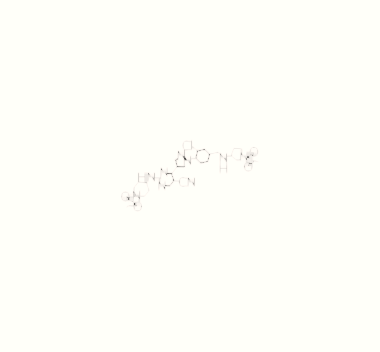 CS(=O)(=O)N1CCC(Nc2ncc(C#N)c(-c3cnn(-c4ccc(CNC5CCN(S(C)(=O)=O)C5)cc4Cl)c3)n2)CC1